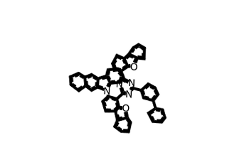 c1ccc(-c2cccc(-c3nc(-c4cccc5c4oc4ccccc45)nc(-c4c(-n5c6ccccc6c6cc7ccccc7cc65)ccc5c4oc4ccccc45)n3)c2)cc1